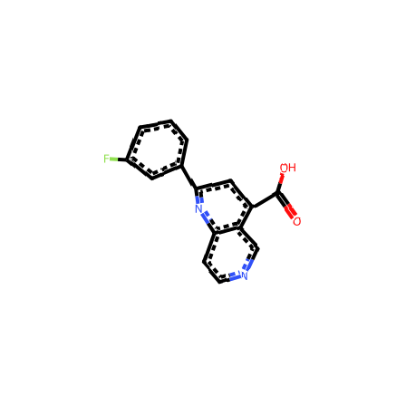 O=C(O)c1cc(-c2cccc(F)c2)nc2ccncc12